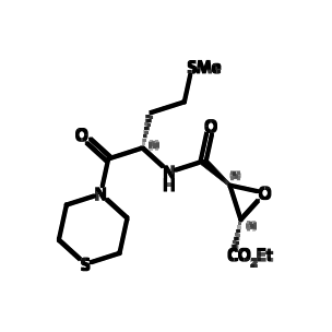 CCOC(=O)[C@H]1O[C@@H]1C(=O)N[C@@H](CCSC)C(=O)N1CCSCC1